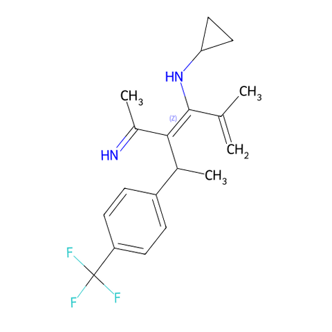 C=C(C)/C(NC1CC1)=C(/C(C)=N)C(C)c1ccc(C(F)(F)F)cc1